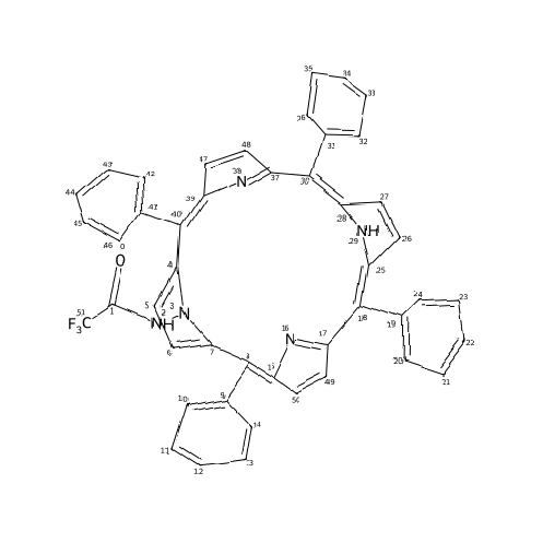 O=C(Nn1c2ccc1c(-c1ccccc1)c1nc(c(-c3ccccc3)c3ccc([nH]3)c(-c3ccccc3)c3nc(c2-c2ccccc2)C=C3)C=C1)C(F)(F)F